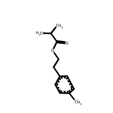 Cc1ccc(CCOC(=O)C(C)C)cc1